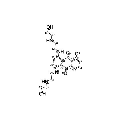 O=C1c2ncc[n+]([O-])c2C(=O)c2c(NCCNCCO)ccc(NCCNCCO)c21